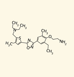 CCc1cc(-c2noc(-c3cc(C)c(CN(CC)CC)s3)n2)cc(C)c1OCCN